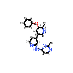 Cc1nccc(Nc2cc(-c3cnc(C)c(Oc4ccccc4)c3)ccn2)n1